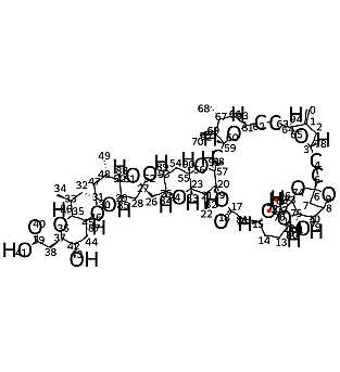 C=C1C[C@@H]2CC[C@]34CC(O3)[C@@H]3O[C@H]5CC[C@H](CC(=O)O[C@@H]6[C@@H](C)[C@@H]7O[C@@H]8C[C@]9(C[C@@H]%10O[C@]%11(C[C@H](C)[C@@H]%12O[C@H](CC(=O)O)[C@H](O)C[C@@H]%12O%11)C[C@H](C)[C@@H]%10O9)O[C@@H]8C[C@@H]7O[C@H]6C[C@H]6O[C@@H](CC[C@@H]1O2)C[C@@H](C)C6=C)O[C@@H]5[C@H](O4)[C@@H]3OC